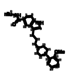 CCCCNC(=O)c1ccc2[nH]cc(CCCN3CCN(c4ncncc4OC)CC3)c2c1